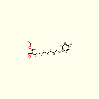 CCOC(=O)C1(CCCCCCCCOc2ccc(F)cc2)CO1